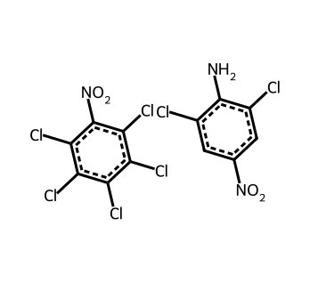 Nc1c(Cl)cc([N+](=O)[O-])cc1Cl.O=[N+]([O-])c1c(Cl)c(Cl)c(Cl)c(Cl)c1Cl